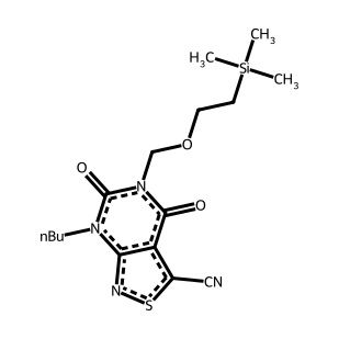 CCCCn1c(=O)n(COCC[Si](C)(C)C)c(=O)c2c(C#N)snc21